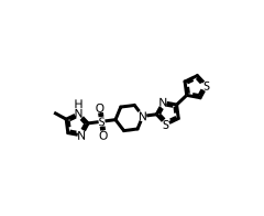 Cc1cnc(S(=O)(=O)C2CCN(c3nc(-c4ccsc4)cs3)CC2)[nH]1